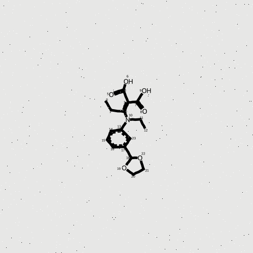 CCC(=C(C(=O)O)C(=O)O)N(CC)c1cccc(C2OCCO2)c1